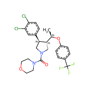 C[C@@H](Oc1ccc(C(F)(F)F)cc1)[C@@H]1CN(C(=O)N2CCOCC2)C[C@H]1c1ccc(Cl)c(Cl)c1